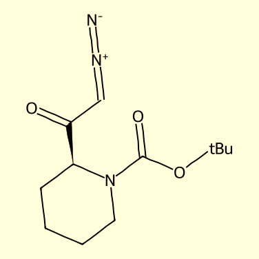 CC(C)(C)OC(=O)N1CCCC[C@H]1C(=O)C=[N+]=[N-]